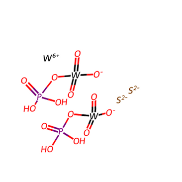 O=P(O)(O)[O][W](=[O])(=[O])[O-].O=P(O)(O)[O][W](=[O])(=[O])[O-].[S-2].[S-2].[W+6]